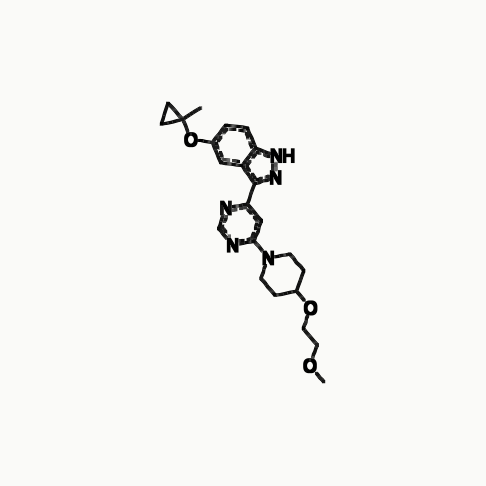 COCCOC1CCN(c2cc(-c3n[nH]c4ccc(OC5(C)CC5)cc34)ncn2)CC1